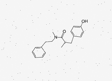 C[C](Cc1ccc(O)cc1)C(=O)N(C)CCc1ccccc1